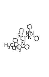 CC1(C)c2ccccc2-c2c1ccc1c3ccccc3n(-c3cc4c(c(-c5nc(-c6ccccc6)nc(-c6ccccc6)n5)c3)C3CC=CC=C3S4)c21